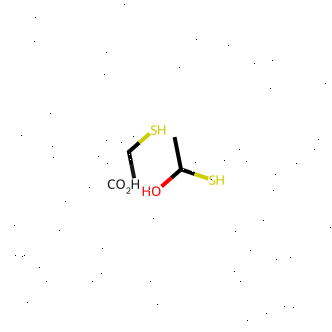 CC(O)S.O=C(O)CS